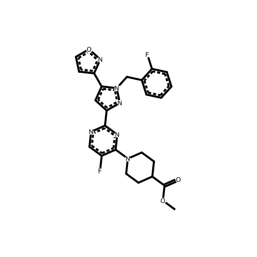 COC(=O)C1CCN(c2nc(-c3cc(-c4ccon4)n(Cc4ccccc4F)n3)ncc2F)CC1